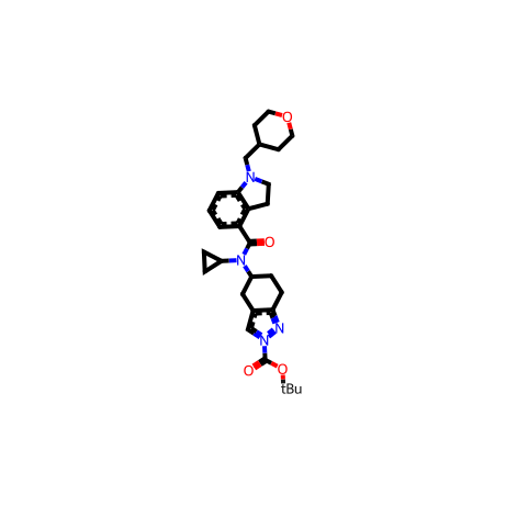 CC(C)(C)OC(=O)n1cc2c(n1)CCC(N(C(=O)c1cccc3c1CCN3CC1CCOCC1)C1CC1)C2